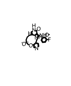 COc1c(F)cccc1Nc1c2[nH]c3c1C(=O)NC[C@@H]3CCC[C@H](OC)COc1cnccc1-2